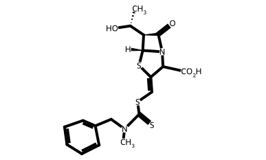 C[C@@H](O)[C@H]1C(=O)N2C(C(=O)O)C(=CSC(=S)N(C)Cc3ccccc3)S[C@H]12